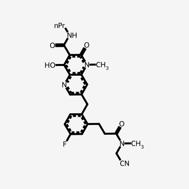 CCCNC(=O)c1c(O)c2ncc(Cc3ccc(F)cc3CCC(=O)N(C)CC#N)cc2n(C)c1=O